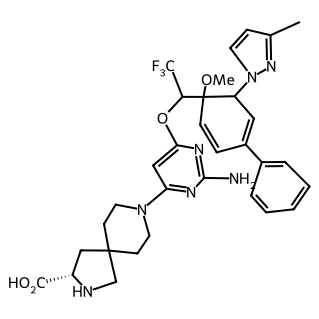 COC1(C(Oc2cc(N3CCC4(CC3)CN[C@H](C(=O)O)C4)nc(N)n2)C(F)(F)F)C=CC(c2ccccc2)=CC1n1ccc(C)n1